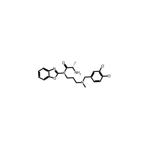 C[C@H](N)C(=O)N(CCCN(C)Cc1ccc(Cl)c(Cl)c1)c1nc2ccccc2o1